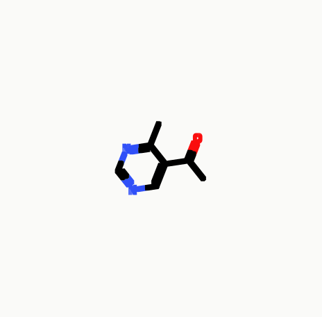 CC(=O)c1cncnc1C